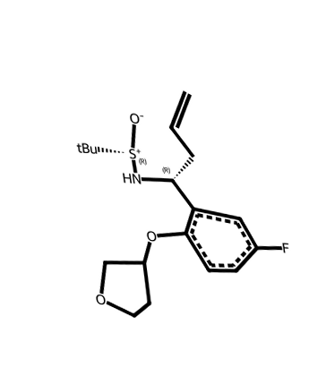 C=CC[C@@H](N[S@@+]([O-])C(C)(C)C)c1cc(F)ccc1OC1CCOC1